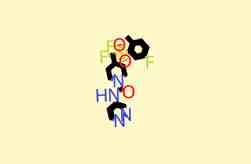 Cc1ccc(F)cc1S(=O)(=O)C(F)(F)C1CCN(C(=O)Nc2ccnnc2)CC1